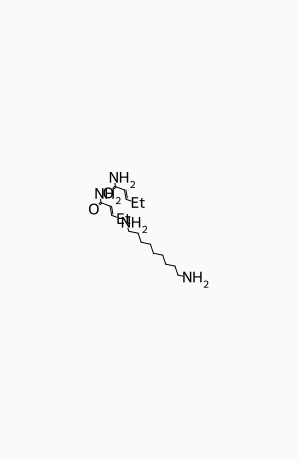 CCC=CC(N)=O.CCC=CC(N)=O.NCCCCCCCCCN